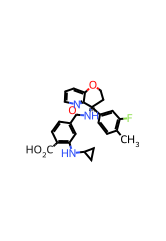 Cc1ccc([C@@]2(NC(=O)c3ccc(C(=O)O)c(NC4CC4)c3)CCOc3cccnc32)cc1F